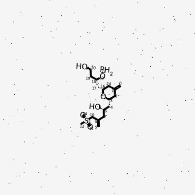 C=C1C[C@H](C[C@@H](O)CC(=C)CS(C)(=O)=O)O[C@H](C[C@H](CCO)OP)C1